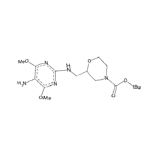 COc1nc(NCC2CN(C(=O)OC(C)(C)C)CCO2)nc(OC)c1N